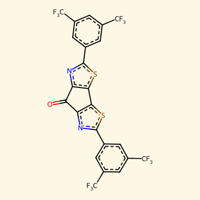 O=C1c2nc(-c3cc(C(F)(F)F)cc(C(F)(F)F)c3)sc2-c2sc(-c3cc(C(F)(F)F)cc(C(F)(F)F)c3)nc21